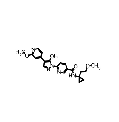 COCCC1(NC(=O)c2ccc(-n3ncc(-c4ccnc(OC)c4)c3O)nc2)CC1